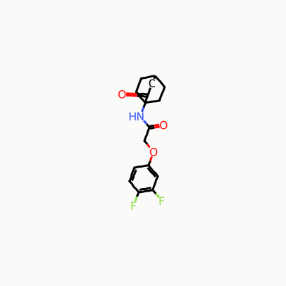 O=C(COc1ccc(F)c(F)c1)NC12CCC(CC1)CC2=O